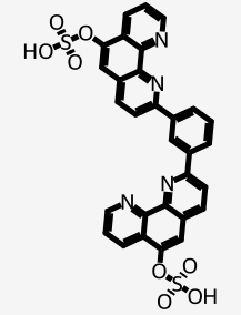 O=S(=O)(O)Oc1cc2ccc(-c3cccc(-c4ccc5cc(OS(=O)(=O)O)c6cccnc6c5n4)c3)nc2c2ncccc12